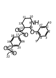 Cc1ccc(C)c(OC2NCCCC2S(=O)(=O)c2ccc(S(C)(=O)=O)cc2)c1